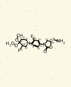 COC1(OC)CCN(c2ccc(N3C[C@H](CN)OC3=O)cc2F)CC1F